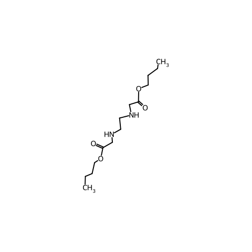 CCCCOC(=O)CNCCNCC(=O)OCCCC